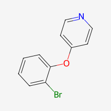 Brc1ccccc1Oc1ccncc1